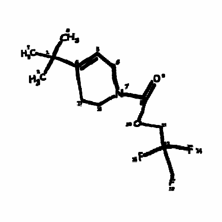 CC(C)(C)C1=CCN(C(=O)OCC(F)(F)F)CC1